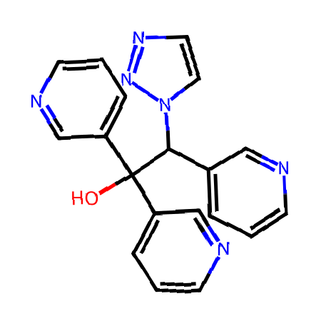 OC(c1cccnc1)(c1cccnc1)C(c1cccnc1)n1ccnn1